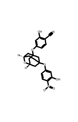 N#Cc1ccc(OC23C[C@@H]4CC(Oc5ccc([N+](=O)[O-])c(O)c5)(C[C@H](C2)O4)C3)cc1O